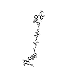 CN1Cc2c(Cl)cc(Cl)cc2C(c2cccc(S(=O)(=O)N[C@@H]3CCN(CCOCCNC(=O)NCCCCNC(=O)NCCOCCN4CC[C@@H](NS(=O)(=O)c5cccc(C6CN(C)Cc7c(Cl)cc(Cl)cc76)c5)C4)C3)c2)C1